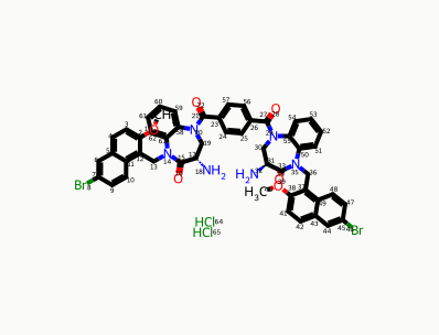 COc1ccc2cc(Br)ccc2c1CN1C(=O)[C@@H](N)CN(C(=O)c2ccc(C(=O)N3C[C@H](N)C(=O)N(Cc4c(OC)ccc5cc(Br)ccc45)c4ccccc43)cc2)c2ccccc21.Cl.Cl